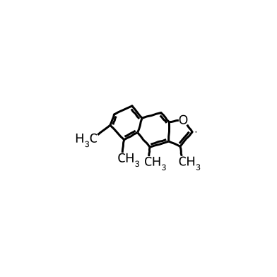 Cc1ccc2cc3o[c]c(C)c3c(C)c2c1C